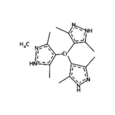 C.Cc1n[nH]c(C)[c]1[Cr]([c]1c(C)n[nH]c1C)[c]1c(C)n[nH]c1C